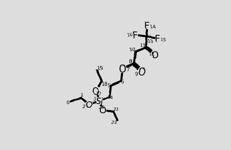 CCO[Si](CCCOC(=O)CC(=O)C(F)(F)F)(OCC)OCC